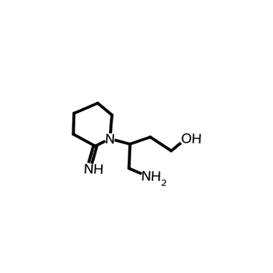 N=C1CCCCN1C(CN)CCO